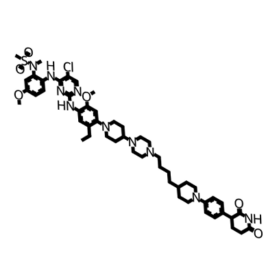 CCc1cc(Nc2ncc(Cl)c(Nc3ccc(OC)cc3N(C)S(C)(=O)=O)n2)c(OC)cc1N1CCC(N2CCN(CCCCC3CCN(c4ccc(C5CCC(=O)NC5=O)cc4)CC3)CC2)CC1